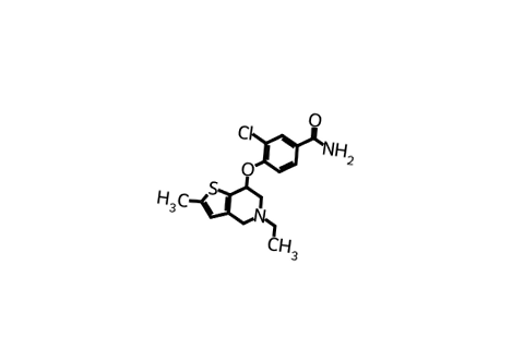 CCN1Cc2cc(C)sc2C(Oc2ccc(C(N)=O)cc2Cl)C1